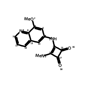 CNc1c(Nc2cc(OC)c3ncccc3c2)c(=O)c1=O